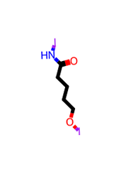 O=C(CCCCOI)NI